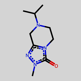 CC(C)N1CCn2c(nn(C)c2=O)C1